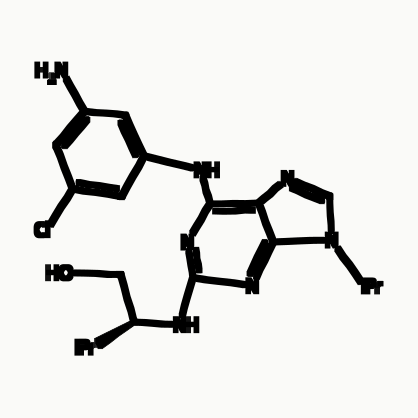 CC(C)[C@@H](CO)Nc1nc(Nc2cc(N)cc(Cl)c2)c2ncn(C(C)C)c2n1